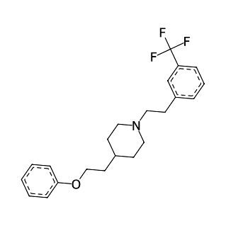 FC(F)(F)c1cccc(CCN2CCC(CCOc3ccccc3)CC2)c1